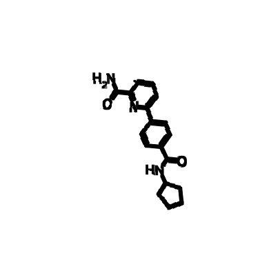 NC(=O)c1[c]ccc(-c2ccc(C(=O)NC3CCCC3)cc2)n1